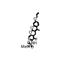 C=CCOc1ccc2c(C)c(Cc3ccnc(NS(=O)(=O)NC)c3F)c(=O)oc2c1